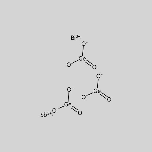 [Bi+3].[O]=[Ge]([O-])[O-].[O]=[Ge]([O-])[O-].[O]=[Ge]([O-])[O-].[Sb+3]